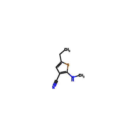 CCc1cc(C#N)c(NC)s1